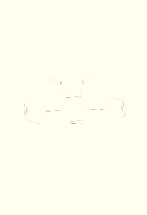 O=C1OC(=O)c2c(-c3cccs3)ccc(-c3cccs3)c21